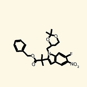 CC1(C)OCCC(Cn2c(C(C)(C)C(=O)OCc3ccccc3)cc3cc([N+](=O)[O-])c(F)cc32)O1